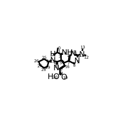 CC(C)C(=N)c1c(-c2cnc(N(C)C)nc2)cc(C(=O)O)nc1NC1CCCCC1